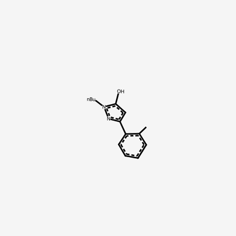 CCCCn1nc(-c2ccccc2C)cc1O